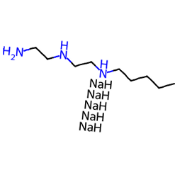 CCCCCNCCNCCN.[NaH].[NaH].[NaH].[NaH].[NaH]